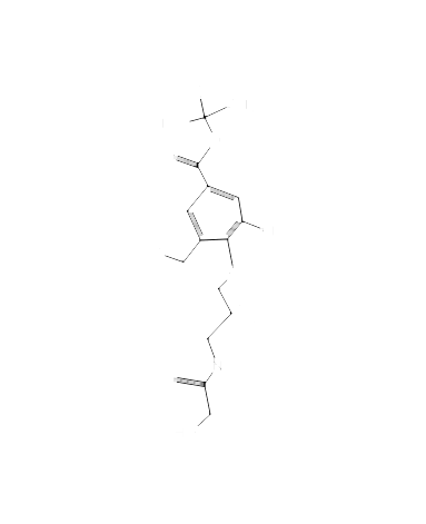 CCc1cc(C(=O)OC(C)(C)C)cc(C)c1OC[C@H](O)CNC(=O)CO